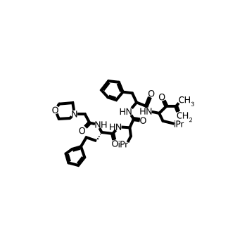 C=C(C)C(=O)C(CC(C)C)NC(=O)C(Cc1ccccc1)NC(=O)C(CC(C)C)NC(=O)[C@H](CCc1ccccc1)NC(=O)CN1CCOCC1